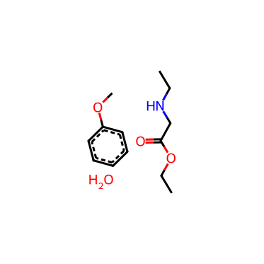 CCNCC(=O)OCC.COc1ccccc1.O